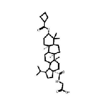 CC(C)[C@@H]1CC[C@]2(C(=O)NCC(=O)O)CC[C@]3(C)C(CCC4[C@@]5(C)CC[C@@H](OC(=O)C6CCC6)C(C)(C)C5CC[C@]43C)C12